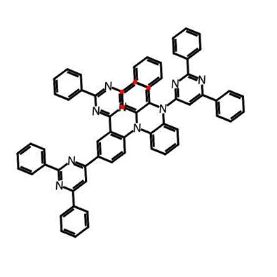 c1ccc(-c2cc(-c3ccc(N4c5ccccc5N(c5cc(-c6ccccc6)nc(-c6ccccc6)n5)c5ccccc54)c(-c4nc(-c5ccccc5)nc(-c5ccccc5)n4)c3)nc(-c3ccccc3)n2)cc1